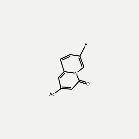 CC(=O)c1cc(=O)n2cc(F)ccc2c1